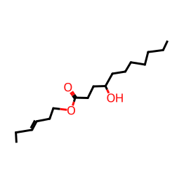 CCC=CCCOC(=O)CCC(O)CCCCCCC